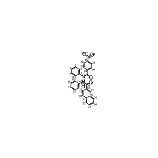 O=C(Nc1ccccc1-c1ccccc1NC(=O)c1ccc2ccccc2c1)c1ccc([N+](=O)[O-])cc1